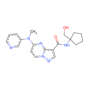 CN(c1cccnc1)c1ccn2ncc(C(=O)NC3(CO)CCCC3)c2n1